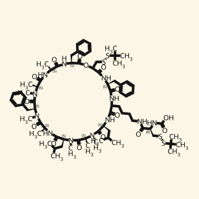 CC(C)C[C@@H]1NC(=O)C(CCCCNC(=O)[C@H](CSSC(C)(C)C)NC(=O)O)NC(=O)[C@H](Cc2ccccc2)NC(=O)C(CSSC(C)(C)C)OC(=O)[C@H](Cc2ccccc2)NC(=O)[C@H](C)NC(=O)[C@H](C)N(C)C(=O)[C@H](Cc2ccccc2)N(C)C(=O)[C@H](C)NC(=O)[C@H](CC(C)C)N(C)C(=O)[C@H](C)N(C)C1=O